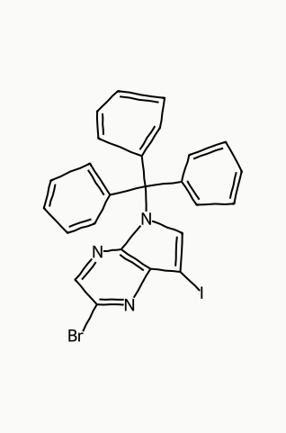 Brc1cnc2c(n1)c(I)cn2C(c1ccccc1)(c1ccccc1)c1ccccc1